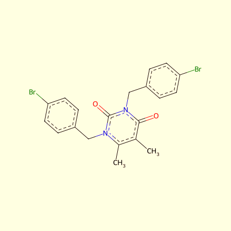 Cc1c(C)n(Cc2ccc(Br)cc2)c(=O)n(Cc2ccc(Br)cc2)c1=O